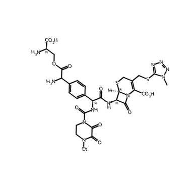 CCN1CCN(C(=O)N[C@H](C(=O)N[C@@H]2C(=O)N3C(C(=O)O)=C(CSc4nnnn4C)CS[C@H]23)c2ccc(C(N)C(=O)OC[C@@H](N)C(=O)O)cc2)C(=O)C1=O